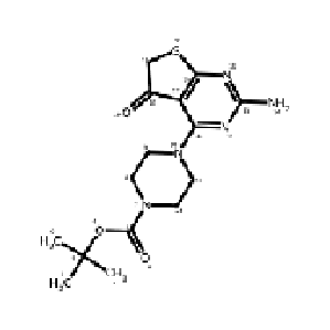 CC(C)(C)OC(=O)N1CCN(c2nc(N)nc3c2C(=O)CS3)CC1